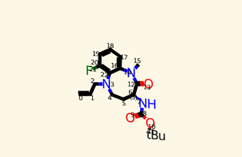 C=CCN1CC[C@H](NC(=O)OC(C)(C)C)C(=O)N(C)c2cccc(F)c21